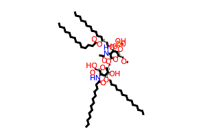 CCCCCCCCCCCCCCO[C@H]1[C@H](O)[C@@H](CO[C@@H]2O[C@H](COC)[C@@H](OP(=O)(O)O)[C@H](OCC[C@@H](CCCCCCCCCCC)OC(=O)CCCCCCCCCCCCC)[C@H]2NC(C)=O)O[C@H](C(=O)O)[C@@H]1NC(=O)CCCCCCCCCCCCC